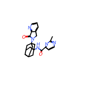 Cc1nccc(C(=O)NC23CC4CC(C2)CC(N2Cc5cccnc5C2=O)(C4)C3)n1